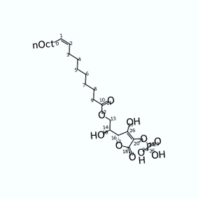 CCCCCCCC/C=C\CCCCCCCC(=O)OC[C@H](O)[C@H]1OC(=O)C(OP(=O)(O)O)=C1O